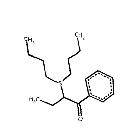 CCCC[S+](CCCC)C(CC)C(=O)c1ccccc1